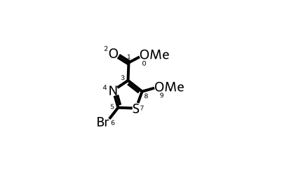 COC(=O)c1nc(Br)sc1OC